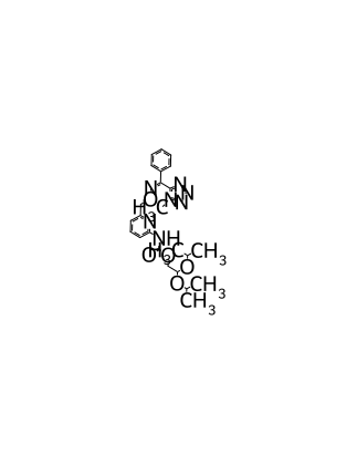 CC(C)OC(COC(=O)Nc1cccc(CO/N=C(/c2ccccc2)c2nnnn2C)n1)OC(C)C